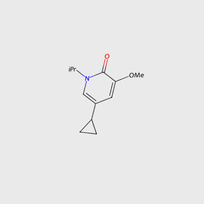 COc1cc(C2CC2)cn(C(C)C)c1=O